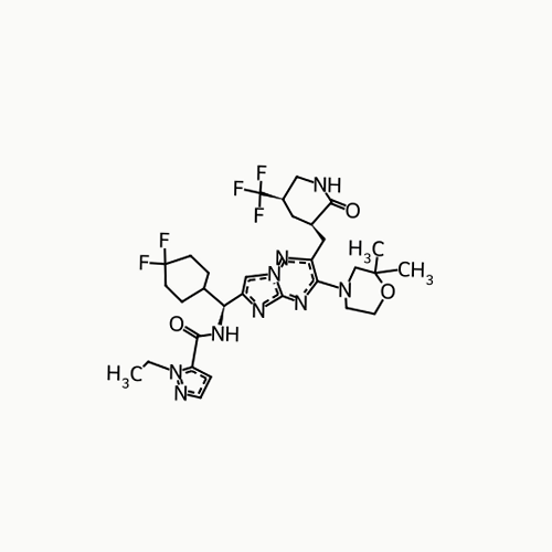 CCn1nccc1C(=O)N[C@H](c1cn2nc(C[C@H]3C[C@@H](C(F)(F)F)CNC3=O)c(N3CCOC(C)(C)C3)nc2n1)C1CCC(F)(F)CC1